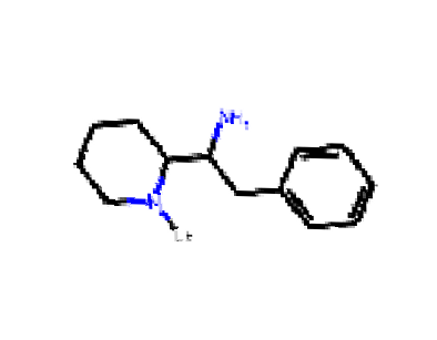 CCN1CCCCC1C(N)Cc1ccccc1